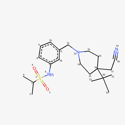 CC(C)S(=O)(=O)Nc1cccc(CN2CCC(CC#N)(C(C)(C)C)CC2)c1